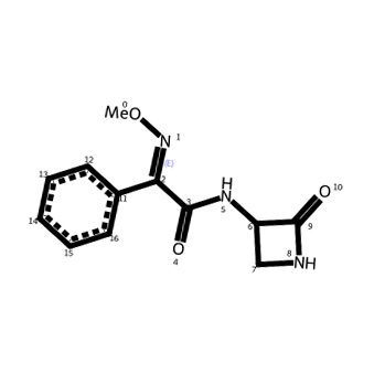 CO/N=C(/C(=O)NC1CNC1=O)c1ccccc1